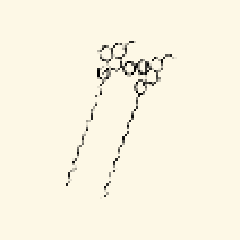 CCCCCCCCCCCCCCCCCCOc1cc(O)c2c3c(cccc13)CC(CC)=C2.CCCCCCCCCCCCCCCCCCOc1ccc2c3c(cccc13)CC(CC)=C2